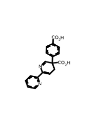 O=C(O)c1ccc(C2(C(=O)O)C=NC(c3ccccn3)=CC2)cc1